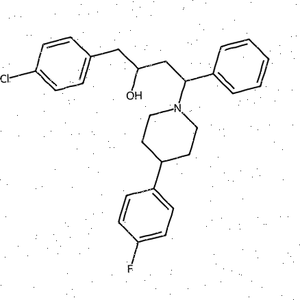 OC(Cc1ccc(Cl)cc1)CC(c1ccccc1)N1CCC(c2ccc(F)cc2)CC1